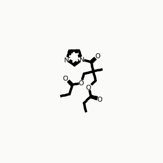 CCC(=O)OCC(C)(COC(=O)CC)C(=O)n1ccnc1